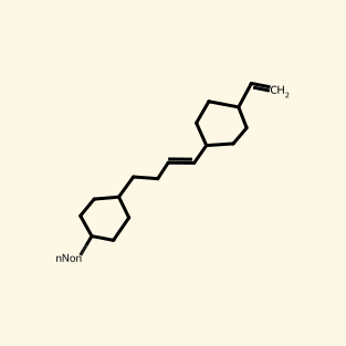 C=CC1CCC(C=CCCC2CCC(CCCCCCCCC)CC2)CC1